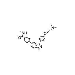 CNC(=O)c1ccc(-c2ccc3nnc(-c4ccc(OCCCN(C)C)cc4)n3c2)cc1